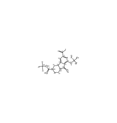 C=C(C)c1cc(OC(F)(F)F)c2c(c1)C1CN(C(=O)OC(C)(C)C)CCN1C2=O